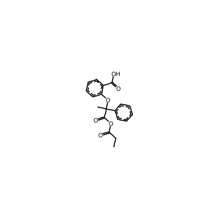 CCC(=O)OC(=O)C(C)(Oc1ccccc1C(=O)O)c1ccccc1